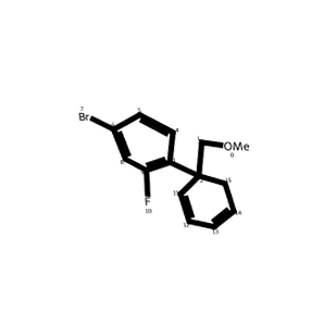 COCC1(c2ccc(Br)cc2F)C=CC=CC1